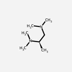 C[C@H](CN(C)C)N(C)C